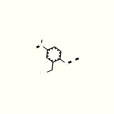 CCc1cc([N+](=O)[O-])ccc1N=C=S